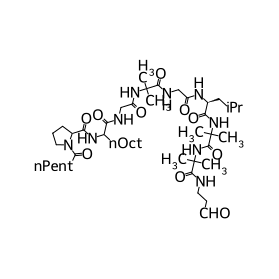 CCCCCCCCC(NC(=O)C1CCCN1C(=O)CCCCC)C(=O)NCC(=O)NC(C)(C)C(=O)NCC(=O)N[C@@H](CC(C)C)C(=O)NC(C)(C)C(=O)NC(C)(C)C(=O)NCCC=O